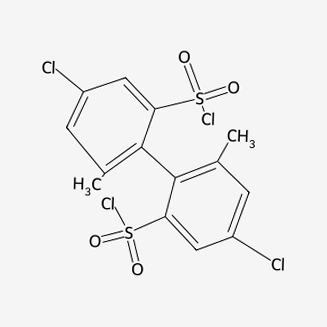 Cc1cc(Cl)cc(S(=O)(=O)Cl)c1-c1c(C)cc(Cl)cc1S(=O)(=O)Cl